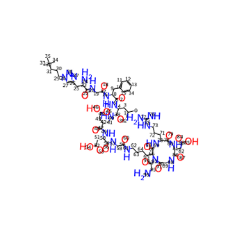 CC(C)CC(NC(=O)C(Cc1ccccc1)NC(=O)CNC(=O)C(N)Cc1cn(CCCC(C)(C)C)nn1)C(=O)NC[C@@H](CC(=O)O)C(=O)N[C@@H](CC(=O)O)C(=O)NCC(=O)NCCCCC1C(=O)NC(CCCNC(=N)N)C(=O)N[C@@H](CC(=O)O)C(=O)NCC(=O)N1C(=O)CN